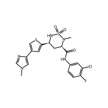 CN1[C@@H](C(=O)Nc2ccc(F)c(Cl)c2)C[C@@H](c2cc(-c3cn(C)cn3)cs2)NS1(=O)=O